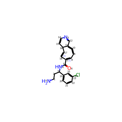 NCCC(NC(=O)C1=C/C=C=C2C=NC=CC2\C=C\1)c1cccc(Cl)c1